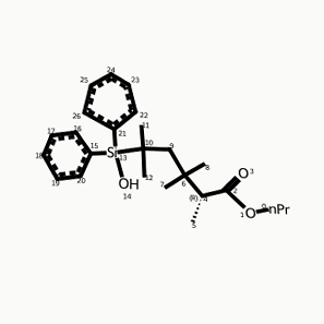 CCCOC(=O)[C@H](C)C(C)(C)CC(C)(C)[Si](O)(c1ccccc1)c1ccccc1